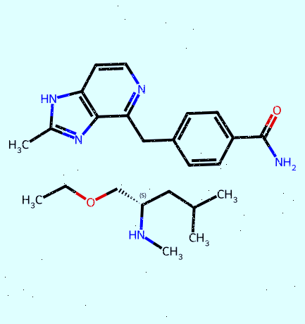 CCOC[C@H](CC(C)C)NC.Cc1nc2c(Cc3ccc(C(N)=O)cc3)nccc2[nH]1